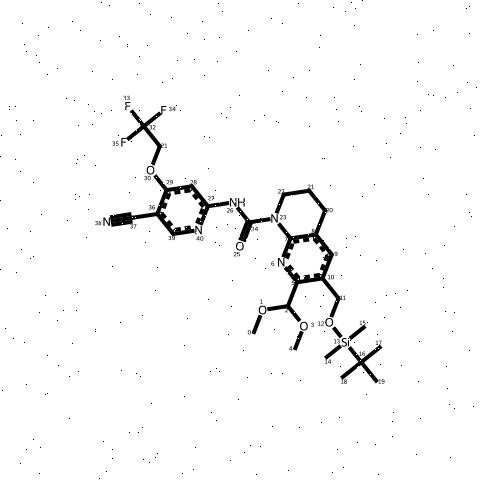 COC(OC)c1nc2c(cc1CO[Si](C)(C)C(C)(C)C)CCCN2C(=O)Nc1cc(OCC(F)(F)F)c(C#N)cn1